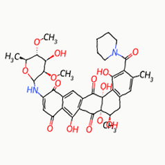 CO[C@@H]1[C@@H](O)[C@@H](OC)C(NC2=CC(=O)c3c(cc4c(c3O)C(=O)[C@]3(OC)[C@H](O)Cc5cc(C)c(C(=O)N6CCCCC6)c(O)c5[C@]3(O)C4=O)C2=O)O[C@H]1C